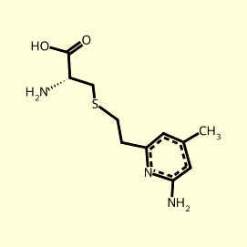 Cc1cc(N)nc(CCSC[C@H](N)C(=O)O)c1